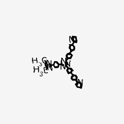 Cc1cc(C)nc(C2C=CC(c3nc(-c4ccc(-c5ccc(-c6ccccn6)cc5)cc4)nc(-c4ccc(-c5ccc(-c6ccccn6)cc5)cc4)n3)=CC2)n1